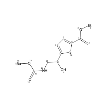 C=C(OCC)c1ccc(C(O)CNC(=O)OC(C)(C)C)s1